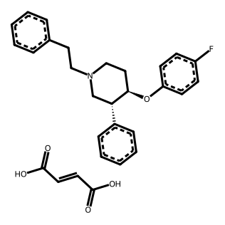 Fc1ccc(O[C@@H]2CCN(CCc3ccccc3)C[C@H]2c2ccccc2)cc1.O=C(O)C=CC(=O)O